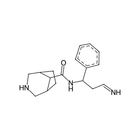 N=CCC(NC(=O)C1C2CCC1CNC2)c1ccccc1